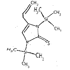 C=Cc1cn([Si](C)(C)C)c(=S)n1[Si](C)(C)C